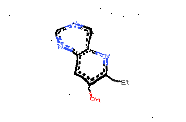 CCc1nc2cncnc2cc1O